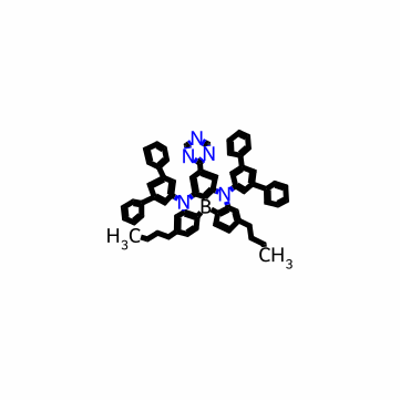 CCCCc1ccc2c(c1)N(c1cc(-c3ccccc3)cc(-c3ccccc3)c1)c1cc(-c3ncncn3)cc3c1B2c1ccc(CCCC)cc1N3c1cc(-c2ccccc2)cc(-c2ccccc2)c1